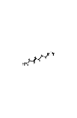 CCCCCCC=CCS